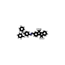 Cc1ccccc1N(c1ccccc1)c1ccc(/C=C/c2ccc3c(c2)C(C)(C)C2=C3C(C)(C)c3ccccc32)cc1